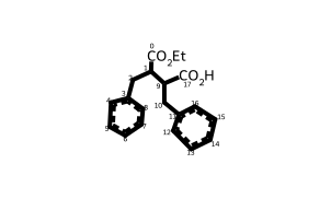 CCOC(=O)C(Cc1ccccc1)C(Cc1ccccc1)C(=O)O